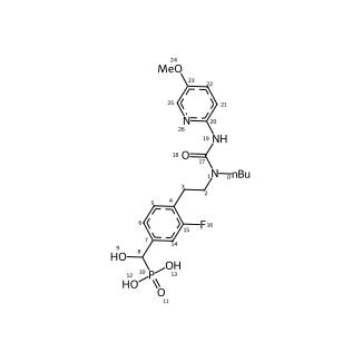 CCCCN(CCc1ccc(C(O)P(=O)(O)O)cc1F)C(=O)Nc1ccc(OC)cn1